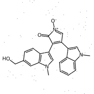 Cn1cc(C2=C(c3cn(C)c4cc(CO)ccc34)C(=O)[N+]([O-])=C2)c2ccccc21